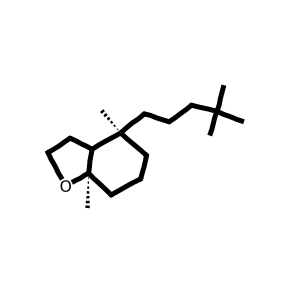 CC(C)(C)CCC[C@@]1(C)CCC[C@@]2(C)OCCC12